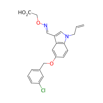 C=CCn1cc(C=NOCC(=O)O)c2cc(OCc3cccc(Cl)c3)ccc21